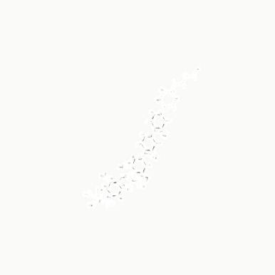 CCCCCC1CCC(c2ccc(-c3ccc(-c4cc(F)c(C(F)(F)Oc5cc(F)c(OC(F)(F)F)c(F)c5)c(F)c4)c(F)c3)c(F)c2)CC1